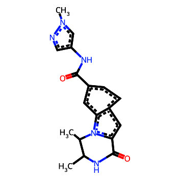 CC1NC(=O)c2cc3ccc(C(=O)Nc4cnn(C)c4)cc3n2C1C